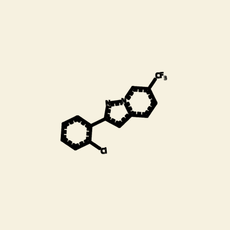 FC(F)(F)c1ccc2cc(-c3ccccc3Cl)nn2c1